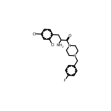 NC(Cc1ccc(Cl)cc1Cl)C(=O)N1CCN(Cc2ccc(F)cc2)CC1